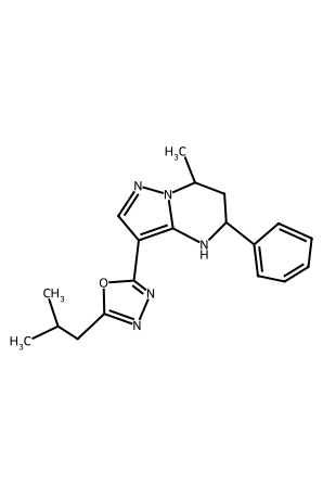 CC(C)Cc1nnc(-c2cnn3c2NC(c2ccccc2)CC3C)o1